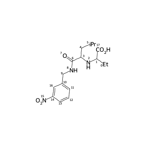 CCC(NC(CC(C)C)C(=O)NCc1cccc([N+](=O)[O-])c1)C(=O)O